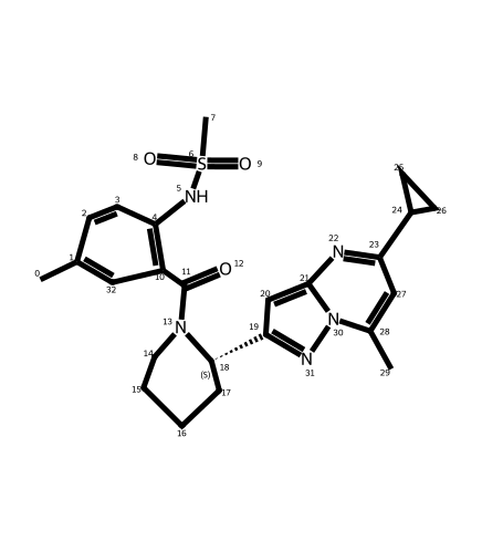 Cc1ccc(NS(C)(=O)=O)c(C(=O)N2CCCC[C@H]2c2cc3nc(C4CC4)cc(C)n3n2)c1